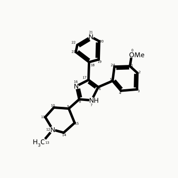 COc1cccc(-c2[nH]c(C3CCN(C)CC3)nc2-c2ccncc2)c1